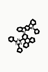 c1ccc(-c2nc(-c3ccccc3)nc(-c3cc(-n4c5ccccc5c5cc6c7ccccc7n(-c7ccccc7)c6cc54)cc4c5ccccc5c5ccccc5c34)n2)cc1